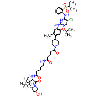 Cc1cc(Nc2ncc(Cl)c(Nc3ccccc3S(=O)(=O)C(C)C)n2)c(OC(C)C)cc1C1CCN(C(=O)CCCC(=O)NCCCCC(=O)N[C@H](C(=O)N2C[C@H](O)C[C@H]2C)C(C)(C)C)CC1